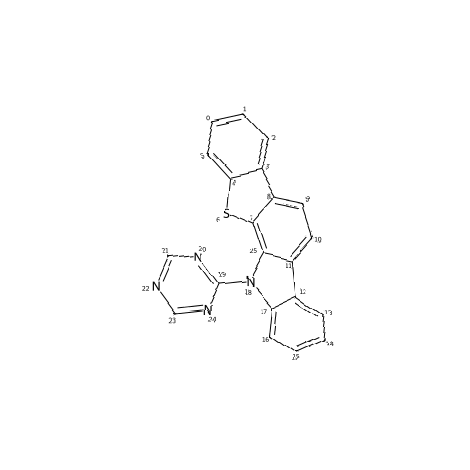 c1ccc2c(c1)sc1c2ccc2c3ccccc3n(-c3ncncn3)c21